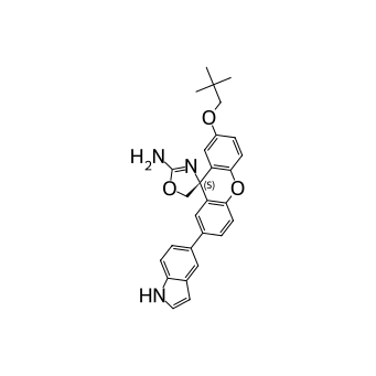 CC(C)(C)COc1ccc2c(c1)[C@]1(COC(N)=N1)c1cc(-c3ccc4[nH]ccc4c3)ccc1O2